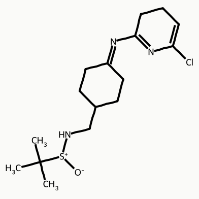 CC(C)(C)[S+]([O-])NCC1CCC(=NC2=NC(Cl)=CCC2)CC1